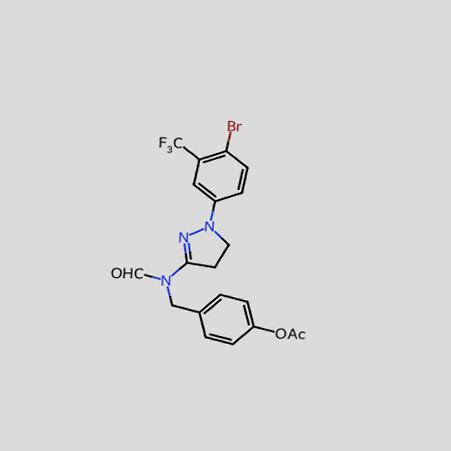 CC(=O)Oc1ccc(CN(C=O)C2=NN(c3ccc(Br)c(C(F)(F)F)c3)CC2)cc1